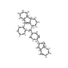 c1ccc2c(c1)N(c1ccc(-c3nc4ncccc4o3)nc1)c1cccc3c4ccccc4n-2c13